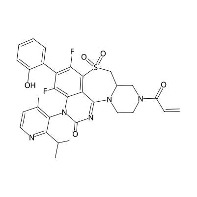 C=CC(=O)N1CCN2c3nc(=O)n(-c4c(C)ccnc4C(C)C)c4c(F)c(-c5ccccc5O)c(F)c(c34)S(=O)(=O)CC2C1